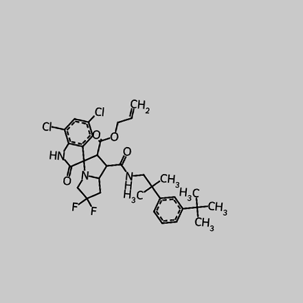 C=CCOC(=O)C1C(C(=O)NCC(C)(C)c2cccc(C(C)(C)C)c2)C2CC(F)(F)CN2C12C(=O)Nc1c(Cl)cc(Cl)cc12